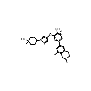 Cc1cc(-c2cnc(N)c(Oc3cnn(C4CCC(C)(O)CC4)c3)n2)cc2c1CN(C)CC2